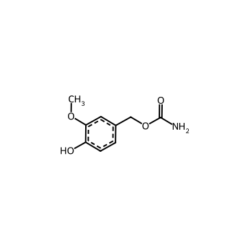 COc1cc(COC(N)=O)ccc1O